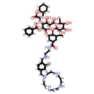 CCC1CC(C(=O)NCCNCc2ccc(CN3CCCNCCNCCCNCC3)cc2Br)CC(OC2OC(CO)C(O)C(O[C@@H](CC3CCCCC3)C(=O)O)C2OC(=O)c2ccccc2)C1OC1OC(C)C(O)C(O)C1O